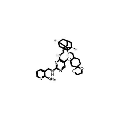 CSc1ncccc1CNc1ncc(C#N)c(NC[C@]23CC4C[C@H](C2)[C@H](NCC2CCC5(CC2)OCCO5)[C@@H](C4)C3)n1